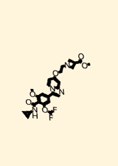 COC(=O)C1CN(CCOc2ccn3c(-c4cc(OC)c(C(=O)NC5CC5)c(OC(F)F)c4)cnc3c2)C1